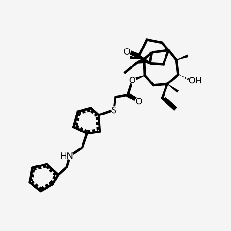 C=C[C@]1(C)C[C@@H](OC(=O)CSc2cccc(CNCc3ccccc3)c2)[C@]2(C)C(C)CC34CC(CCC3=O)(C42)[C@@H](C)[C@@H]1O